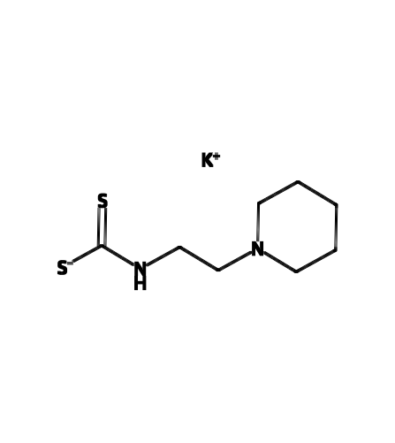 S=C([S-])NCCN1CCCCC1.[K+]